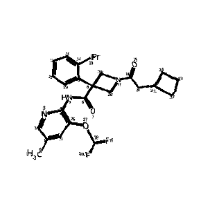 Cc1cnc(NC(=O)C2(c3ccccc3C(C)C)CN(C(=O)CC3CCC3)C2)c(OC(F)F)c1